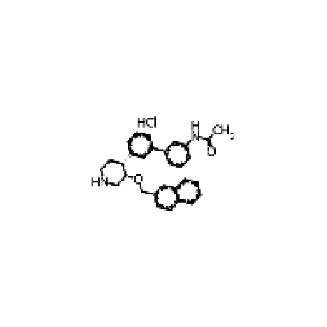 CC(=O)Nc1cccc(-c2cccc([C@H]3CCNC[C@@H]3OCc3ccc4ccccc4c3)c2)c1.Cl